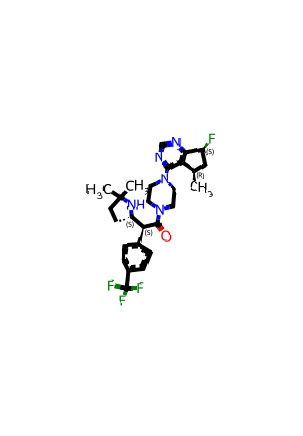 C[C@@H]1C[C@H](F)c2ncnc(N3CCN(C(=O)[C@@H](c4ccc(C(F)(F)F)cc4)[C@@H]4CCC(C)(C)N4)CC3)c21